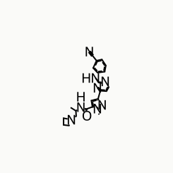 CC(CN1CCC1)NC(=O)c1cc(-c2ccnc(Nc3cccc(C#N)c3)n2)nn1C